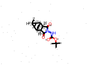 CC(C)(C)OC(=O)NN1C(=O)[C@@H]2C3C=CC(C4[C@H]5C[C@]345)[C@@H]2C1=O